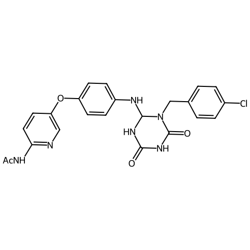 CC(=O)Nc1ccc(Oc2ccc(NC3NC(=O)NC(=O)N3Cc3ccc(Cl)cc3)cc2)cn1